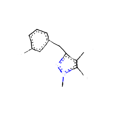 CCOC(=O)c1c(Cc2cccc(C(F)(F)F)c2)nn(C)c1C(F)(F)F